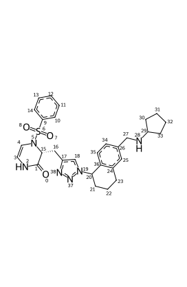 O=C1NC=CN(S(=O)(=O)c2ccccc2)[C@@H]1Cc1cn(C2CCCc3cc(CNC4CCCC4)ccc32)nn1